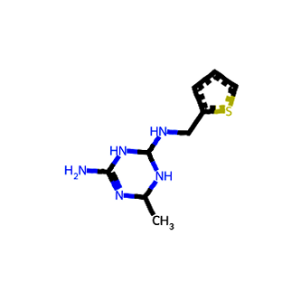 CC1N=C(N)NC(NCc2cccs2)N1